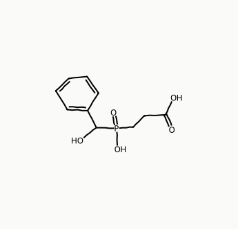 O=C(O)CCP(=O)(O)C(O)c1ccccc1